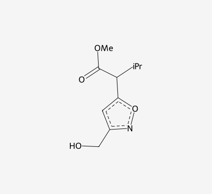 COC(=O)C(c1cc(CO)no1)C(C)C